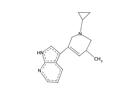 CC1C=C(c2c[nH]c3ncccc23)CN(C2CC2)C1